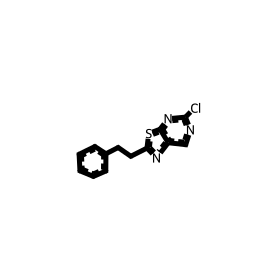 Clc1ncc2nc(CCc3ccccc3)sc2n1